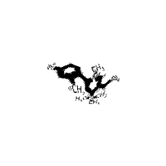 Cc1cc(C(C)C)ccc1-c1cc([Si](C)(C)C)c(CC(C)(C)C)c[n+]1C